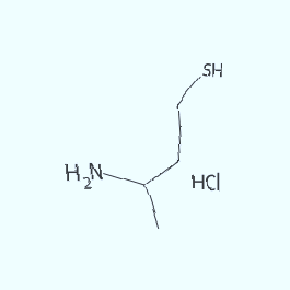 CC(N)CCS.Cl